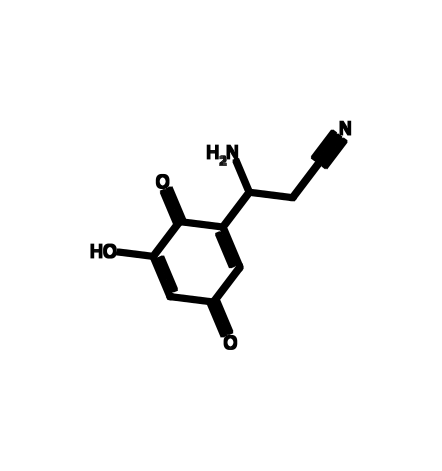 N#CCC(N)C1=CC(=O)C=C(O)C1=O